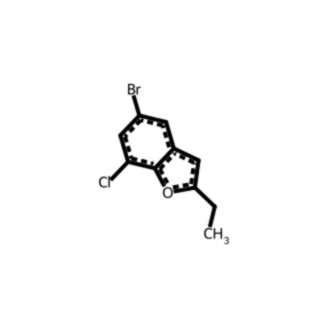 CCc1cc2cc(Br)cc(Cl)c2o1